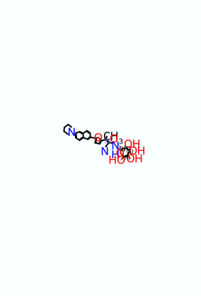 C/C(=C(/C#N)C(=O)NC[C@H]1OC(O)[C@H](O)[C@@H](O)[C@@H]1O)c1ccc(-c2ccc3cc(N4CCCCC4)ccc3c2)o1